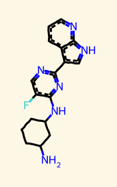 NC1CCCC(Nc2nc(-c3c[nH]c4ncccc34)ncc2F)C1